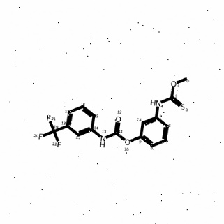 COC(=S)Nc1cccc(OC(=O)Nc2cccc(C(F)(F)F)c2)c1